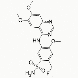 COc1cc(CF)c(S(N)(=O)=O)cc1Nc1ncnc2cc(OC)c(OC)cc12